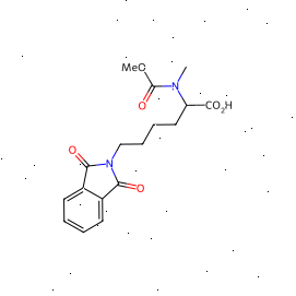 COC(=O)N(C)C(CCCCN1C(=O)c2ccccc2C1=O)C(=O)O